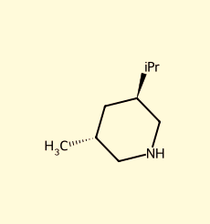 CC(C)[C@H]1CNC[C@H](C)C1